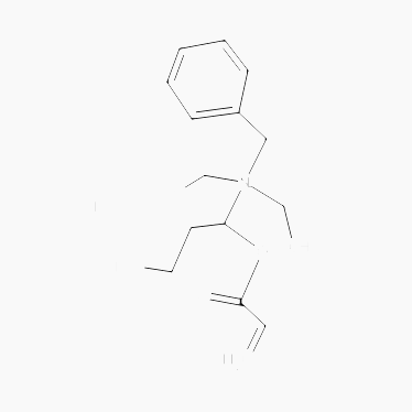 C=CC(=O)OC(CCC)[N+](CC)(CC)Cc1ccccc1.[F-]